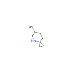 CC(C)C1CCC2(CC2)NC1